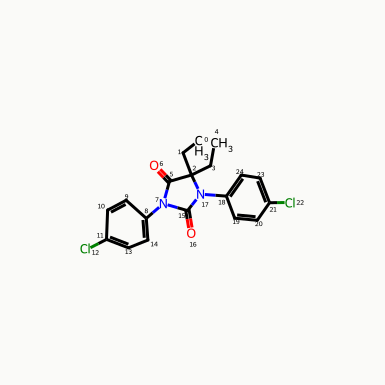 CCC1(CC)C(=O)N(c2ccc(Cl)cc2)C(=O)N1c1ccc(Cl)cc1